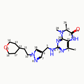 Cc1nc(NCc2cnn(CCC3CCOCC3)c2)nc2c1NC(=O)[C@H](C)N2C